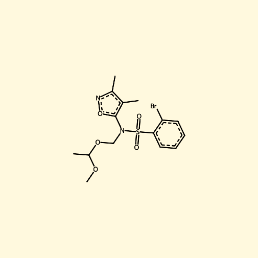 COC(C)OCN(c1onc(C)c1C)S(=O)(=O)c1ccccc1Br